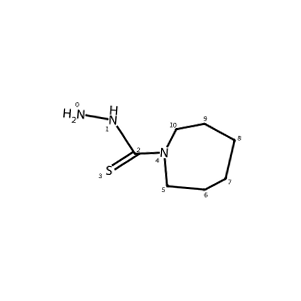 NNC(=S)N1CCCCCC1